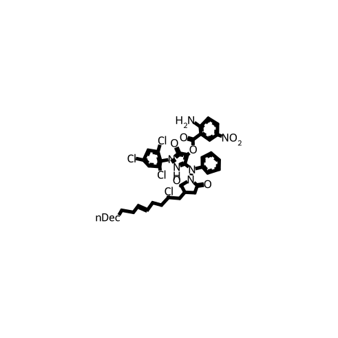 CCCCCCCCCCCCC=CCCC(Cl)CC1CC(=O)N(N(c2ccccc2)c2[nH]n(-c3c(Cl)cc(Cl)cc3Cl)c(=O)c2OC(=O)c2cc([N+](=O)[O-])ccc2N)C1=O